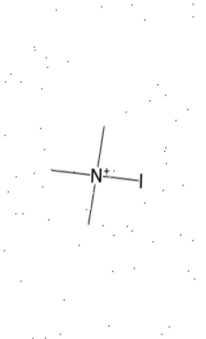 C[N+](C)(C)I